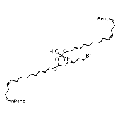 CCCCC/C=C\C/C=C\CCCCCCCCOC(CCCCCBr)O[Si](C)(C)OCCCCCCCC/C=C\C/C=C\CCCCC